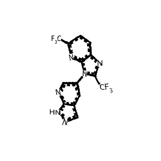 FC(F)(F)c1ccc2nc(C(F)(F)F)n(-c3cnc4[nH]ncc4c3)c2n1